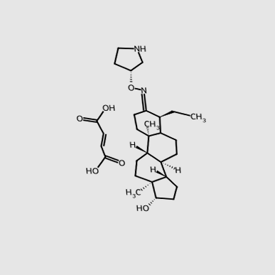 CC[C@@H]1/C(=N/O[C@@H]2CCNC2)CC[C@@]2(C)C1CC[C@H]1[C@@H]3CC[C@H](O)[C@@]3(C)CC[C@@H]12.O=C(O)/C=C/C(=O)O